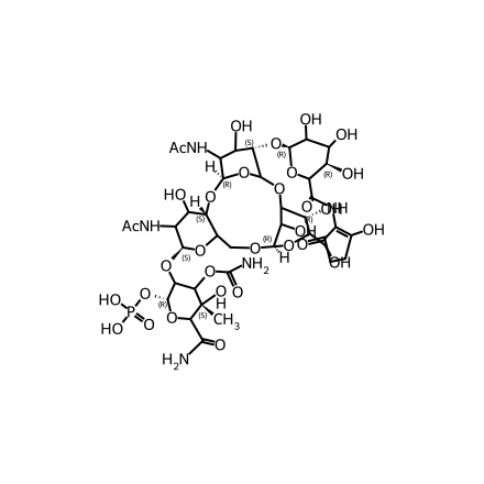 CC(=O)NC1C(O)[C@@H]2O[C@@H]3OC(OC4C(O)[C@H](OCC2O[C@H]1OC1C(OC(N)=O)[C@](C)(O)C(C(N)=O)O[C@@H]1OP(=O)(O)O)OC(CO)[C@H]4O)[C@@H](O[C@@H]1OC(C(=O)NC2=C(O)CCC2=O)[C@H](O)C(O)C1O)C(O)C3NC(C)=O